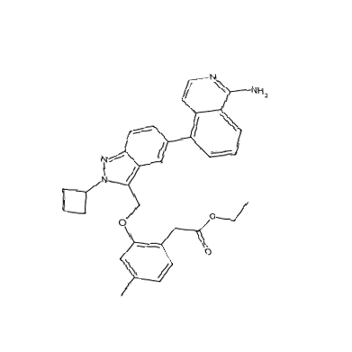 CCOC(=O)Cc1ccc(C)cc1OCc1c2cc(-c3cccc4c(N)nccc34)ccc2nn1C1CCC1